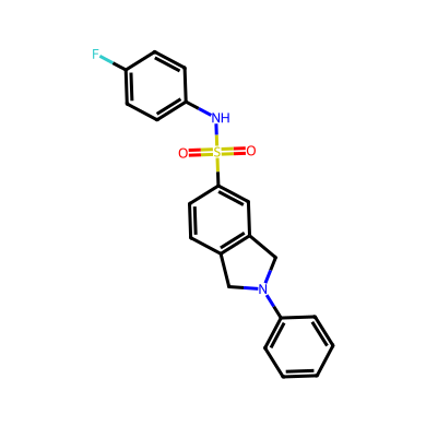 O=S(=O)(Nc1ccc(F)cc1)c1ccc2c(c1)CN(c1ccccc1)C2